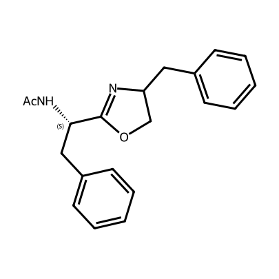 CC(=O)N[C@@H](Cc1ccccc1)C1=NC(Cc2ccccc2)CO1